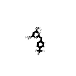 Nc1cc(N)nc(Cc2ccc(C(F)(F)F)cc2)n1